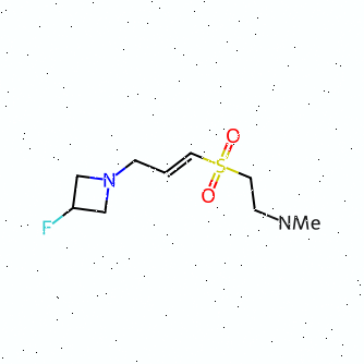 CNCCS(=O)(=O)/C=C/CN1CC(F)C1